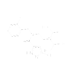 Cc1cc(C(=O)N(CCN(C(C)C)C(C)C)Cc2ccccc2F)[nH]n1